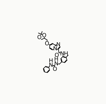 Cc1ccc(CNC(=O)Nc2ccccc2)cc1NC(=O)c1cnc2cc(OCC3COC(C)(C)O3)ccn12